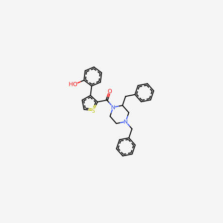 O=C(c1sccc1-c1ccccc1O)N1CCN(Cc2ccccc2)CC1Cc1ccccc1